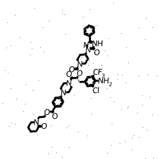 Nc1c(Cl)cc(C[C@@H](OC(=O)N2CCC(n3nc(-c4ccccc4)[nH]c3=O)CC2)C(=O)N2CCN(c3ccc(C(=O)OCCN4CCCCC4=O)cc3)CC2)cc1C(F)(F)F